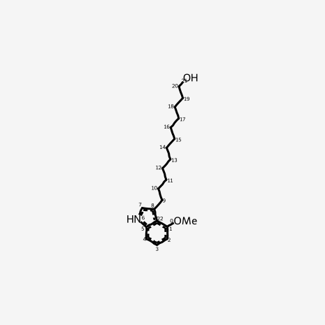 COc1cccc2[nH]cc(CCCCCCCCCCCCO)c12